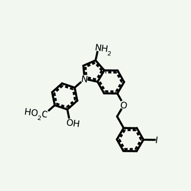 Nc1cn(-c2ccc(C(=O)O)c(O)c2)c2cc(OCc3cccc(I)c3)ccc12